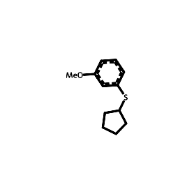 COc1cccc(SC2CCCC2)c1